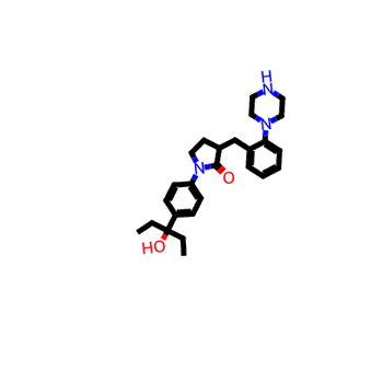 CCC(O)(CC)c1ccc(N2CCC(Cc3ccccc3N3CCNCC3)C2=O)cc1